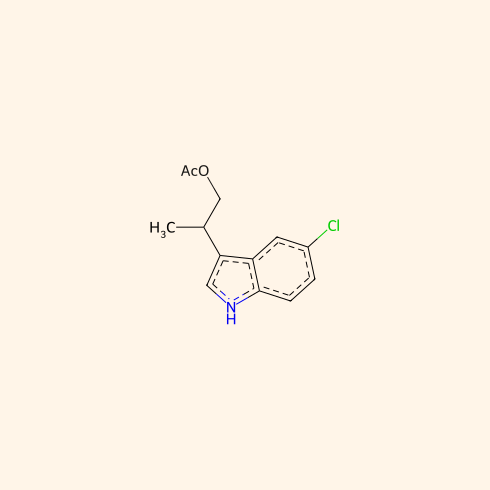 CC(=O)OCC(C)c1c[nH]c2ccc(Cl)cc12